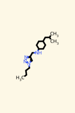 CCCCn1cc(CNC2CCC(CC(C)C)CC2)nn1